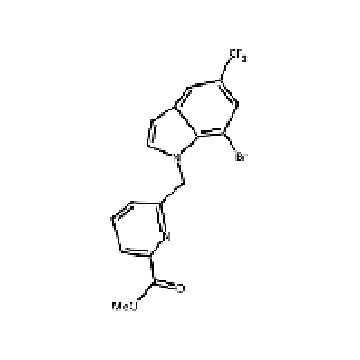 COC(=O)c1cccc(Cn2ccc3cc(C(F)(F)F)cc(Br)c32)n1